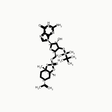 C=C(C)[C@@H]1CC[C@]2(C)S[P@@](=S)(OC[C@H]3O[C@@H](n4cnc5c(=O)[nH]c(N)nc54)[C@H](O)C3O[Si](C)(C)C(C)(C)C)O[C@H]2C1